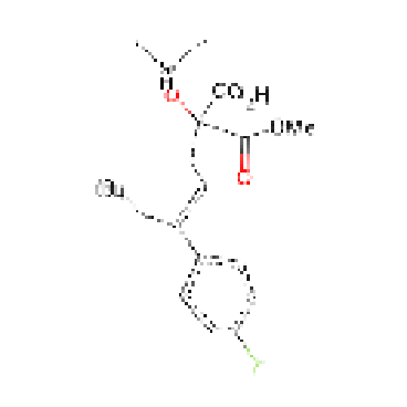 COC(=O)C(CC=C(CC(C)(C)C)c1ccc(F)cc1)(O[SiH](C)C)C(=O)O